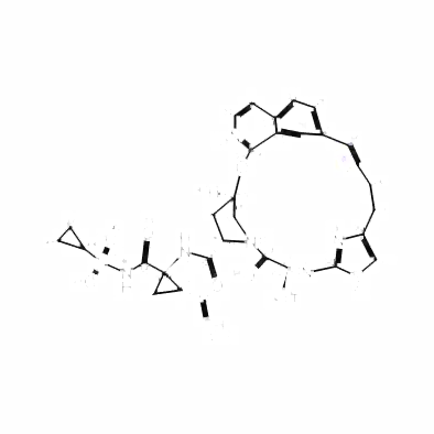 C=C[C@@H]1C[C@]1(NC(=O)[C@@H]1C[C@@H]2CN1C(=O)[C@H](C(C)C)Nc1nc(cs1)CC/C=C/c1ccc3ccnc(c3c1)O2)C(=O)NS(=O)(=O)C1CC1